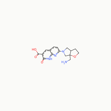 NCC12CN(c3ccc4cc(C(=O)O)c(=O)[nH]c4n3)CC1CCO2